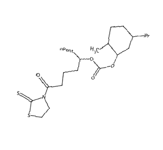 CCCCCC(CCCC(=O)N1CCSC1=S)OC(=O)OC1CC(C(C)C)CCC1C